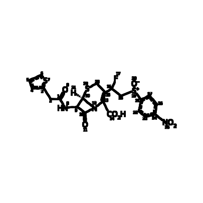 O=C(Cc1cccs1)NC1C(=O)N2C(C(=O)O)=C(C(F)C[S+]([O-])c3ccc([N+](=O)[O-])cc3)CS[C@H]12